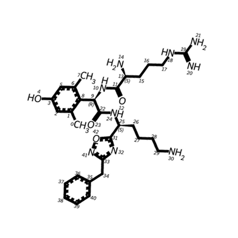 Cc1cc(O)cc(C)c1[C@@H](NC(=O)[C@@H](N)CCCNC(=N)N)C(=O)N[C@@H](CCCCN)c1nc(Cc2ccccc2)no1